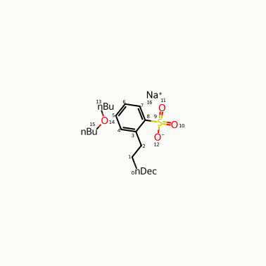 CCCCCCCCCCCCc1ccccc1S(=O)(=O)[O-].CCCCOCCCC.[Na+]